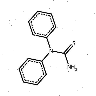 NC(=S)N(c1[c]cccc1)c1ccccc1